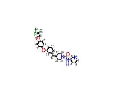 O=C(Nc1cccnc1)N1CCC(=Cc2cccc(Oc3ccc(OCC(F)(F)F)cc3)c2)CC1